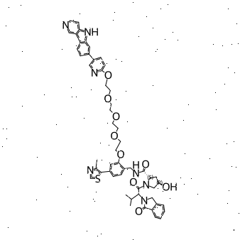 Cc1ncsc1-c1ccc(CNC(=O)[C@@H]2C[C@@H](O)CN2C(=O)C(C(C)C)N2Cc3ccccc3C2=O)c(OCCOCCOCCOCCOc2ccc(-c3ccc4c(c3)[nH]c3ccncc34)cn2)c1